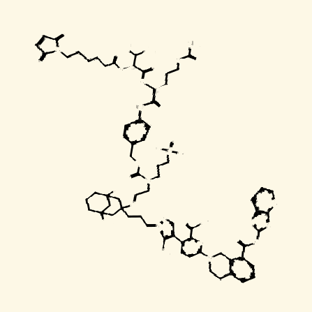 Cc1c(-c2ccc(N3CCc4cccc(C(=O)Nc5nc6ncccc6s5)c4C3)nc2C(=O)O)cnn1CCCC1(OCCN(CCCP(=O)(O)O)C(=O)OCc2ccc(NC(=O)[C@H](CCCNC(N)=O)NC(=O)[C@@H](NC(=O)CCCCCN3C(=O)C=CC3=O)C(C)C)cc2)CC2(C)CCCC(C)(C2)C1